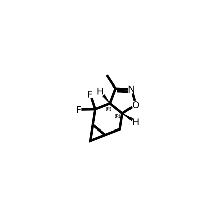 CC1=NO[C@@H]2CC3CC3C(F)(F)[C@H]12